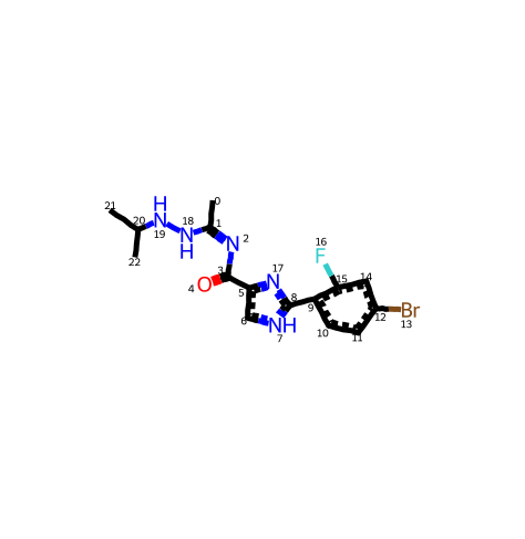 C/C(=N/C(=O)c1c[nH]c(-c2ccc(Br)cc2F)n1)NNC(C)C